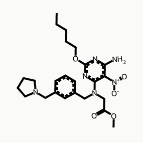 CCCCCOc1nc(N)c([N+](=O)[O-])c(N(CC(=O)OC)Cc2cccc(CN3CCCC3)c2)n1